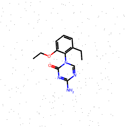 CCOc1cccc(CC)c1-n1cnc(N)nc1=O